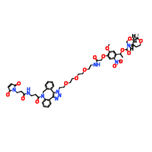 COc1cc(C(C)OC(=O)N2CO[C@@H]3[C@H](C)OCC[C@@H]32)c([N+](=O)[O-])cc1OCC(=O)NCCOCCOCCOCCn1nnc2c1-c1ccccc1CN(C(=O)CCNC(=O)CCN1C(=O)C=CC1=O)c1ccccc1-2